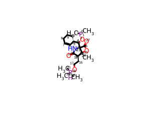 CP(C)O[C@H]([C@@H]1C=CCCC1)[C@@]12NC(=O)[C@H](CCO[PH](C)(C)C)[C@]1(C)OC2=O